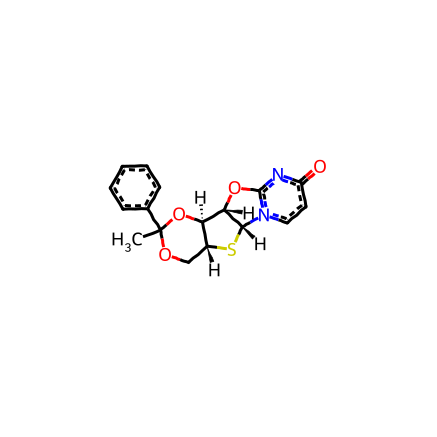 CC1(c2ccccc2)OC[C@H]2S[C@@H]3[C@@H](Oc4nc(=O)ccn43)[C@@H]2O1